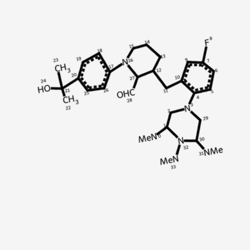 CNC1CN(c2ccc(F)cc2CC2CCCN(c3ccc(C(C)(C)O)cc3)C2C=O)CC(NC)N1NC